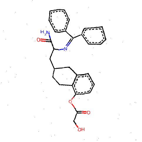 NC(=O)C(CC1CCc2c(cccc2OC(=O)CO)C1)N=C(c1ccccc1)c1ccccc1